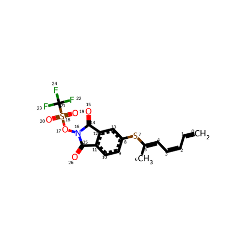 C=C/C=C\C=C(/C)Sc1ccc2c(c1)C(=O)N(OS(=O)(=O)C(F)(F)F)C2=O